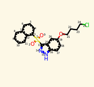 O=S(=O)(c1cccc2ccccc12)c1n[nH]c2ccc(OCCCCCl)cc12